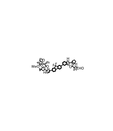 COC(=O)N(C)C(C(=O)NC(C(=O)N1CC2(CC2)CC1c1nc(-c2ccc3c(c2)C(F)(F)c2cc(-c4ccc5[nH]c(C6C7CCC(C7)N6C(=O)C(NC=O)C(C)C)nc5c4)ccc2-3)c[nH]1)C(C)C)C(C)C